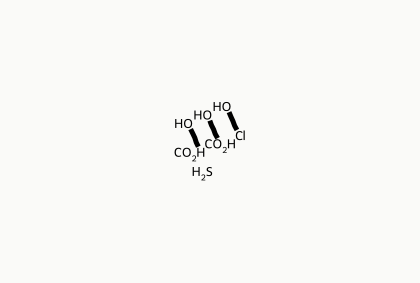 O=C(O)O.O=C(O)O.OCl.S